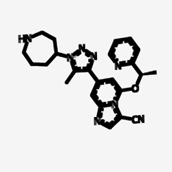 Cc1c(-c2cc(O[C@H](C)c3ccccn3)n3c(C#N)cnc3c2)nnn1C1CCCNCC1